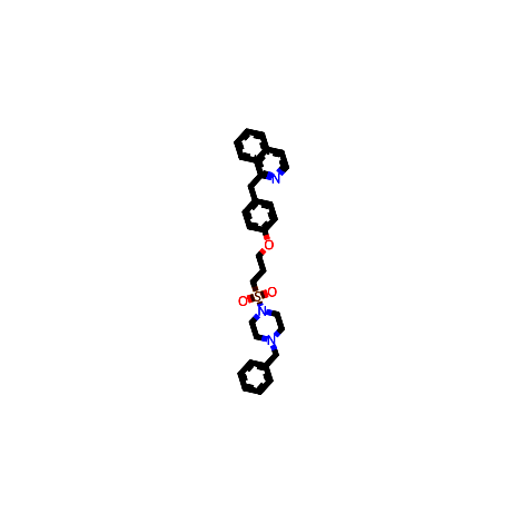 O=S(=O)(CCCOc1ccc(Cc2nccc3ccccc23)cc1)N1CCN(Cc2ccccc2)CC1